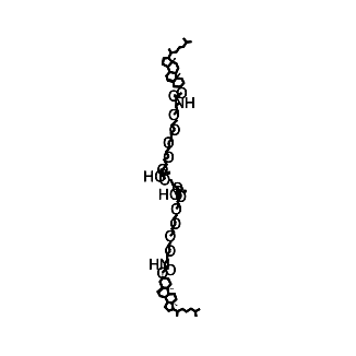 C=P(O)(OCCOCCOCCOCCOCCNC(=O)O[C@@H]1CC[C@]2(C)C(=CCC3C4CCC(C(C)CCCC(C)C)[C@]4(C)CCC32)C1)OCCOP(=C)(O)OCCOCCOCCOCCOCCNC(=O)O[C@@H]1CC[C@]2(C)C(=CCC3C4CCC(C(C)CCCC(C)C)[C@]4(C)CCC32)C1